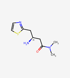 CN(C)C(=O)C[C@@H](N)Cc1nccs1